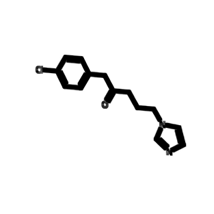 O=C(CCCn1ccnc1)Cc1ccc(Cl)cc1